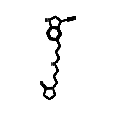 N#CC1CNc2ccc(CCCNCCCN3CCCC3=O)cc21